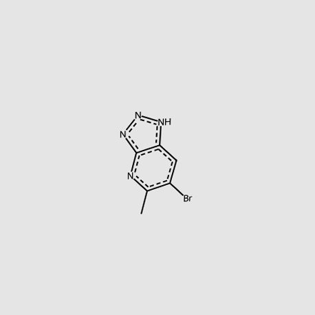 Cc1nc2nn[nH]c2cc1Br